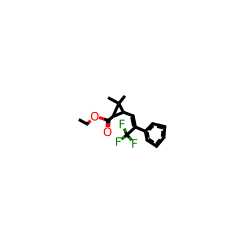 CCOC(=O)C1C(/C=C(/c2ccccc2)C(F)(F)F)C1(C)C